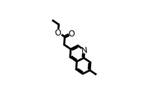 CCOC(=O)Cc1cnc2cc(C)ccc2c1